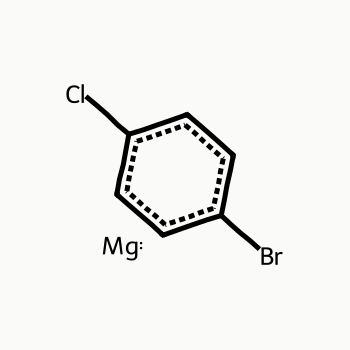 Clc1ccc(Br)cc1.[Mg]